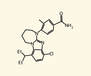 CCC(CC)c1ccc(Cl)c2nc3n(c12)CCCCN3c1ccc(C(N)=O)cc1C